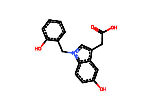 O=C(O)Cc1cn(Cc2ccccc2O)c2ccc(O)cc12